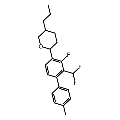 CCCC1CCC(c2ccc(-c3ccc(C)cc3)c(C(F)F)c2F)OC1